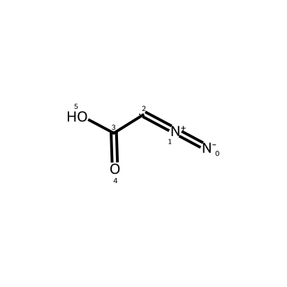 [N-]=[N+]=[C]C(=O)O